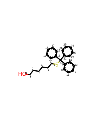 OCCCCCCSC(c1ccccc1)(c1ccccc1)c1ccccc1